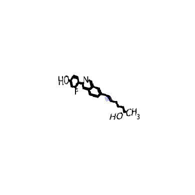 CC(O)CCC/C=C/c1ccc2cc(-c3ccc(O)cc3F)ncc2c1